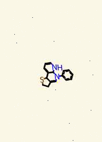 C1=CNC2C(=C1)C1SCCC1=CN2c1ccccc1